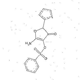 NC1=C(OS(=O)(=O)c2ccccc2)C(=O)C(c2cccs2)O1